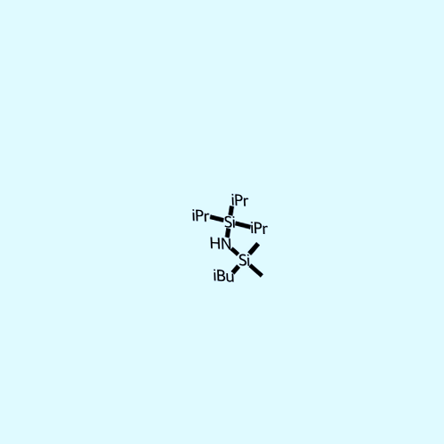 CCC(C)[Si](C)(C)N[Si](C(C)C)(C(C)C)C(C)C